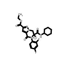 CCOC(=O)c1cc2n(n1)CC(C)(C(=O)NC1CCCCC1)N(c1ccc(F)cc1F)C2=O